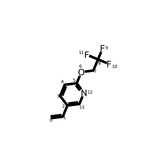 C=Cc1ccc(OCC(F)(F)F)nc1